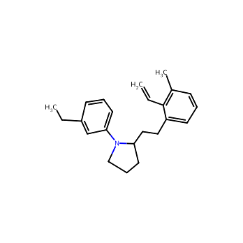 C=Cc1c(C)cccc1CCC1CCCN1c1cccc(CC)c1